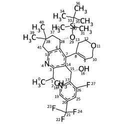 CC(C)c1nc2c(c(C3=CCOCC3)c1[C@H](O)c1ncc(C(F)(F)F)cc1F)[C@@H](O[Si](C)(C)C(C)(C)C)CC(C)(C)C2